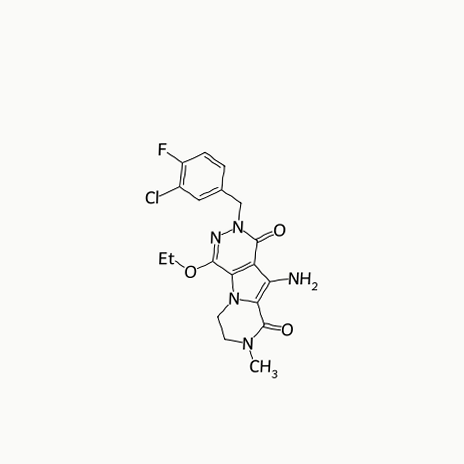 CCOc1nn(Cc2ccc(F)c(Cl)c2)c(=O)c2c(N)c3n(c12)CCN(C)C3=O